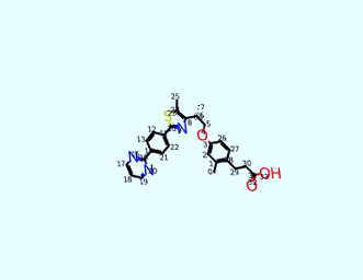 Cc1cc(OC[C@@H](C)c2nc(-c3ccc(-c4ncccn4)cc3)sc2C)ccc1CCC(=O)O